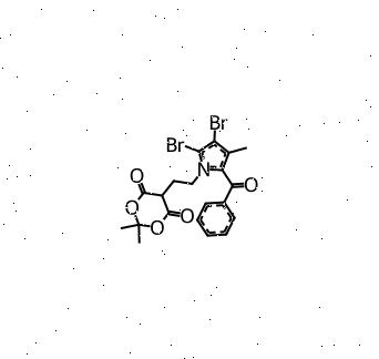 Cc1c(Br)c(Br)n(CCC2C(=O)OC(C)(C)OC2=O)c1C(=O)c1ccccc1